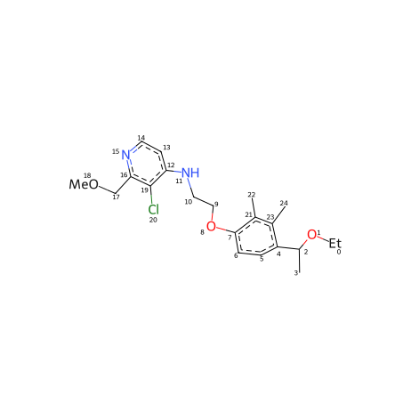 CCOC(C)c1ccc(OCCNc2ccnc(COC)c2Cl)c(C)c1C